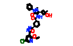 CCOc1ncc(Cl)cc1-c1nnc([C@H]2CCC[C@@H](C(=O)Nc3c(=O)n(-c4ccccc4)n(C)c3[C@H]3C[C@@](C)(O)C3)C2)o1